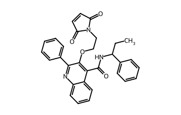 CCC(NC(=O)c1c(OCCN2C(=O)C=CC2=O)c(-c2ccccc2)nc2ccccc12)c1ccccc1